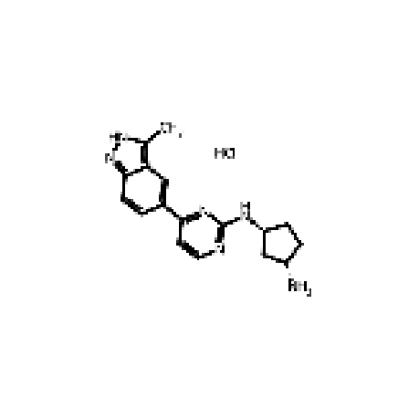 Cc1[nH]nc2ccc(-c3ccnc(N[C@H]4CC[C@H](N)C4)n3)cc12.Cl